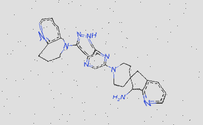 NC1c2ncccc2CC12CCN(c1cnc3c(N4CCCc5ncccc54)n[nH]c3n1)CC2